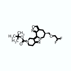 CC(C)(C)OC(=O)N1CCc2nn3c(c2C1)-c1nocc1C[C@@H](COCC(F)F)C3